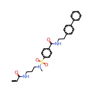 C=CC(=O)NCCCN(C)S(=O)(=O)c1ccc(C(=O)NCCc2ccc(-c3ccccc3)cc2)cc1